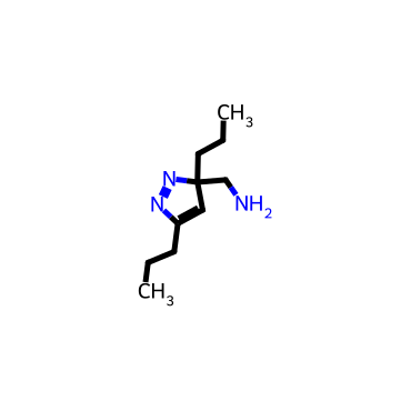 CCCC1=CC(CN)(CCC)N=N1